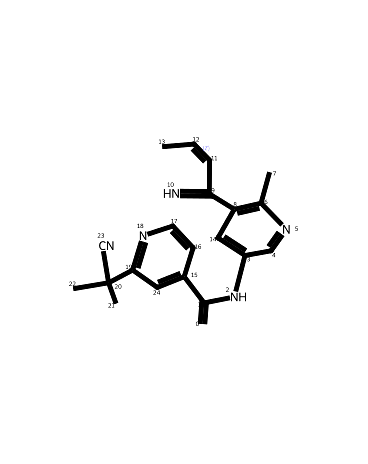 C=C(Nc1cnc(C)c(C(=N)/C=C\C)c1)c1ccnc(C(C)(C)C#N)c1